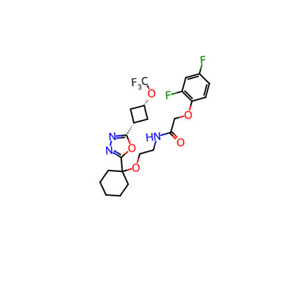 O=C(COc1ccc(F)cc1F)NCCOC1(c2nnc([C@H]3C[C@@H](OC(F)(F)F)C3)o2)CCCCC1